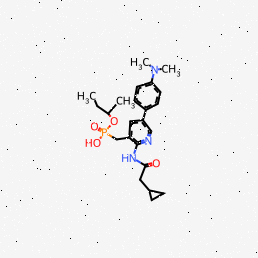 CCC(C)OP(=O)(O)Cc1cc(-c2ccc(N(C)C)cc2)cnc1NC(=O)CC1CC1